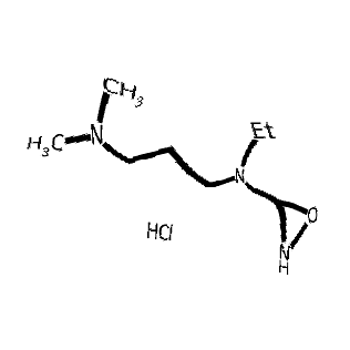 CCN(CCCN(C)C)C1NO1.Cl